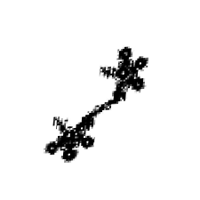 [N-]=[N+]=NC[C@H]1O[C@@H](OCc2cn(CCOCCOCCn3cc(CO[C@@H]4O[C@H](CN=[N+]=[N-])C(OC(=O)c5ccccc5)[C@H](OC(=O)c5ccccc5)[C@@H]4OC(=O)c4ccccc4)nn3)nn2)[C@@H](OC(=O)c2ccccc2)[C@@H](OC(=O)c2ccccc2)C1OC(=O)c1ccccc1